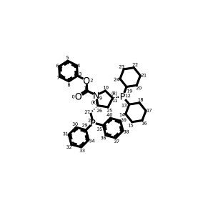 O=C(Oc1ccccc1)N1C[C@H](P(C2CCCCC2)C2CCCCC2)C[C@@H]1CP(c1ccccc1)c1ccccc1